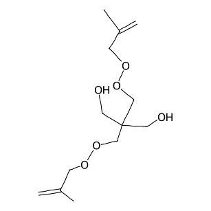 C=C(C)COOCC(CO)(CO)COOCC(=C)C